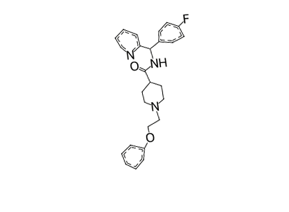 O=C(NC(c1ccc(F)cc1)c1ccccn1)C1CCN(CCOc2ccccc2)CC1